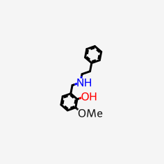 COc1cccc(CNCCc2ccccc2)c1O